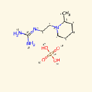 CC1CCCCN1CCN=C(N)N.O=S(=O)(O)O